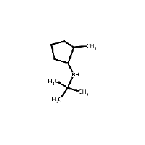 CC1CCCC1BC(C)(C)C